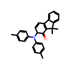 Cc1ccc(N(c2ccc(C)cc2)C2C=CC3=C(C2=O)C(C)(C)c2ccccc23)cc1